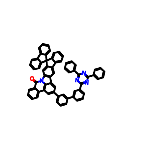 O=c1c2ccccc2c2cc(-c3cccc(-c4cccc(-c5nc(-c6ccccc6)nc(-c6ccccc6)n5)c4)c3)cc3c4cc5c(cc4n1c23)C1(c2ccccc2-c2ccccc21)c1ccccc1-5